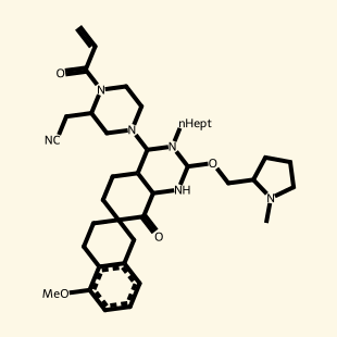 C=CC(=O)N1CCN(C2C3CCC4(CCc5c(cccc5OC)C4)C(=O)C3NC(OCC3CCCN3C)N2CCCCCCC)CC1CC#N